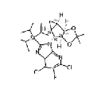 CC(C)[Si](c1nc2c(Cl)c(F)c(Cl)nc2n1[C@@H]1[C@H]2C[C@H]2[C@H]2OC(C)(C)O[C@H]21)(C(C)C)C(C)C